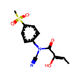 CC=C(O)C(=O)N(C#N)c1ccc(S(C)(=O)=O)cc1